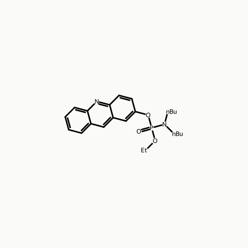 CCCCN(CCCC)P(=O)(OCC)Oc1ccc2nc3ccccc3cc2c1